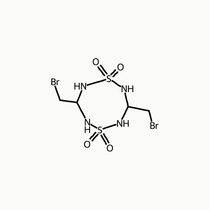 O=S1(=O)NC(CBr)NS(=O)(=O)NC(CBr)N1